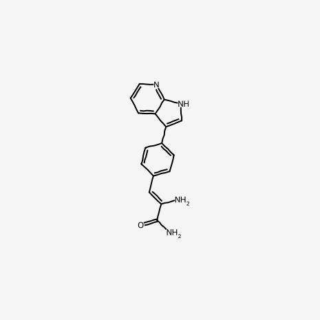 NC(=O)/C(N)=C/c1ccc(-c2c[nH]c3ncccc23)cc1